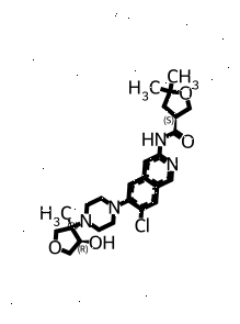 CC1(C)C[C@H](C(=O)Nc2cc3cc(N4CCN([C@]5(C)COC[C@@H]5O)CC4)c(Cl)cc3cn2)CO1